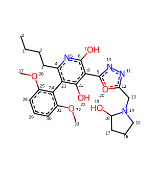 CCCCc1nc(O)c(-c2nnc(CN3CCCC3O)o2)c(O)c1-c1c(OC)cccc1OC